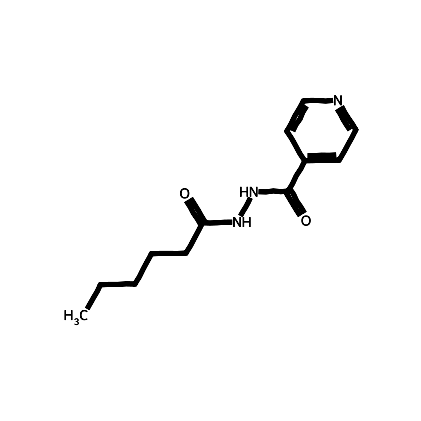 CCCCCC(=O)NNC(=O)c1ccncc1